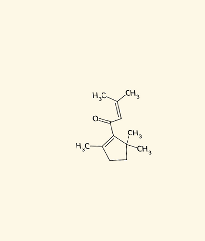 CC(C)=CC(=O)C1=C(C)CCC1(C)C